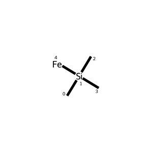 C[Si](C)(C)[Fe]